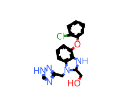 OCC1Nc2c(Oc3ccccc3Cl)cccc2N1Cc1nc[nH]n1